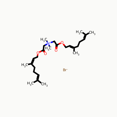 CC(C)=CCCC(C)=CCOC(=O)C[N+](C)(C)CC(=O)OCC=C(C)CCC=C(C)C.[Br-]